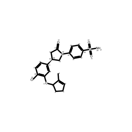 CC1=CCCC1Oc1cc([C@H]2CC(=O)N(c3ccc(S(N)(=O)=O)cc3)C2)ccc1Cl